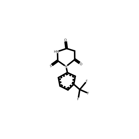 O=C1CC(=O)N(c2cccc(C(F)(F)F)c2)C(=S)N1